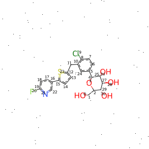 OCC1OC(c2ccc(Cl)c(Cc3ccc(-c4ccc(F)nc4)s3)c2)[C@H](O)[C@@H](O)[C@@H]1O